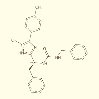 Cc1ccc(-c2nc([C@H](Cc3ccccc3)NC(=O)NCc3ccccc3)[nH]c2Cl)cc1